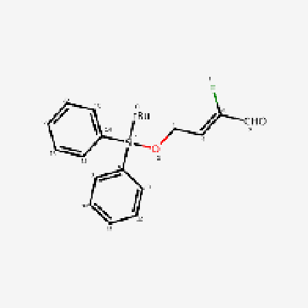 CC(C)(C)[Si](OC/C=C(\F)C=O)(c1ccccc1)c1ccccc1